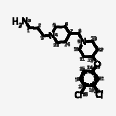 NCCCN1CCC(CN2CCC(Oc3ccc(Cl)c(Cl)c3)CC2)CC1